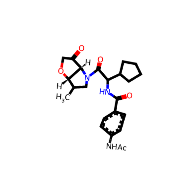 CC(=O)Nc1ccc(C(=O)NC(C(=O)N2CC(C)[C@@H]3OCC(=O)[C@H]32)C2CCCC2)cc1